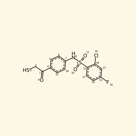 O=C(CS)c1ccc(NS(=O)(=O)c2ccc(F)cc2Cl)cc1